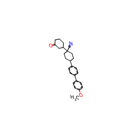 COc1ccc(-c2ccc(C3CCC(C#N)(C4CCCC(=O)C4)CC3)cc2)cc1